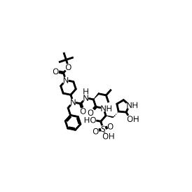 CC(C)C[C@H](NC(=O)N(Cc1ccccc1)C1CCN(C(=O)OC(C)(C)C)CC1)C(=O)N[C@@H](C[C@@H]1CCNC1O)C(O)S(=O)(=O)O